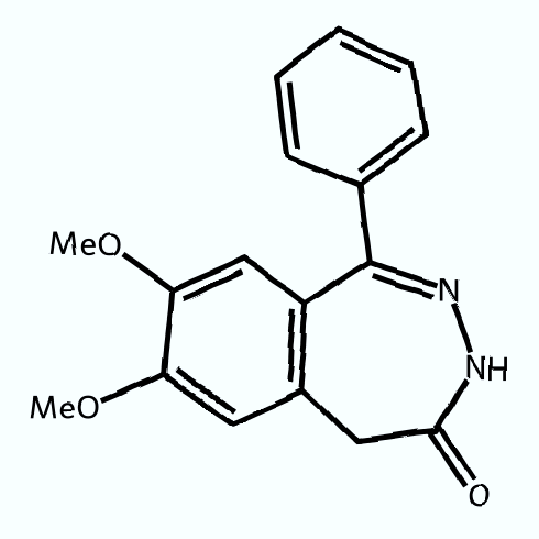 COc1cc2c(cc1OC)C(c1ccccc1)=NNC(=O)C2